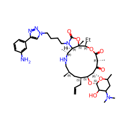 C=CC[C@H]1C[C@@H](C)CN[C@H](C)[C@H]2N(CCCCn3cc(-c4cccc(N)c4)nn3)C(=O)O[C@]2(C)[C@@H](CC)OC(=O)[C@H](C)C(=O)[C@H](C)[C@H]1O[C@@H]1OC(C)CC(N(C)C)C1O